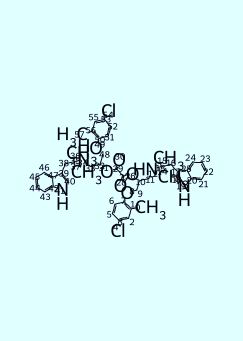 Cc1cc(Cl)ccc1OCC(CNC(C)(C)Cc1c[nH]c2ccccc12)OC(=O)C(=O)OC(CNC(C)(C)Cc1c[nH]c2ccccc12)COc1ccc(Cl)cc1C